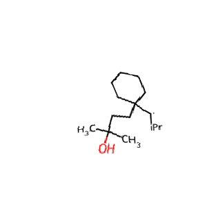 CC(C)[CH]C1(CCC(C)(C)O)CCCCC1